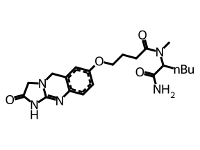 CCCCC(C(N)=O)N(C)C(=O)CCCOc1ccc2c(c1)CN1CC(=O)NC1=N2